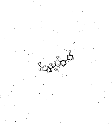 COc1cc(-c2cncc(Cl)c2)ccc1NC(=O)C(C)(C)c1csc(NS(=O)(=O)C2CC2)n1